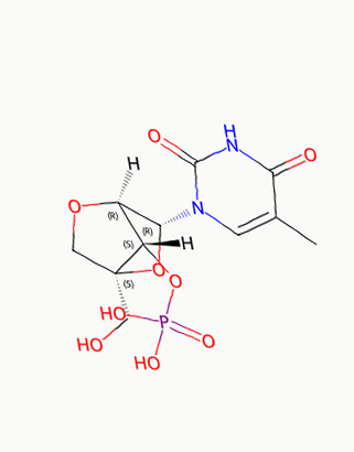 Cc1cn([C@@H]2O[C@@]3(CO)CO[C@@H]2[C@@H]3OP(=O)(O)O)c(=O)[nH]c1=O